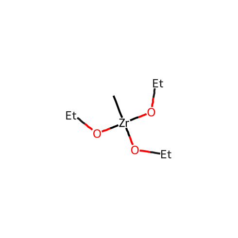 CC[O][Zr]([CH3])([O]CC)[O]CC